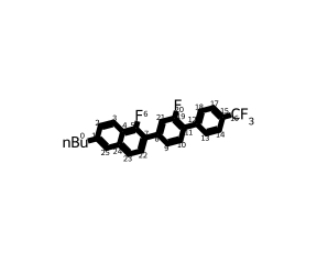 CCCCc1ccc2c(F)c(-c3ccc(-c4ccc(C(F)(F)F)cc4)c(F)c3)ccc2c1